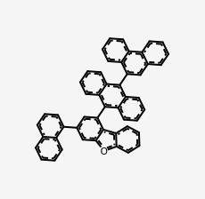 c1ccc2c(-c3cc(-c4c5ccccc5c(-c5cc6ccccc6c6ccccc56)c5ccccc45)c4c(c3)oc3ccccc34)cccc2c1